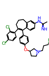 CC(=N)Nc1ccc2c(c1)CCCC(c1ccc(Cl)cc1Cl)=C2c1ccc(OC2CCN(CCCF)C2)cc1